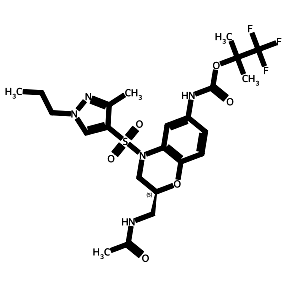 CCCn1cc(S(=O)(=O)N2C[C@H](CNC(C)=O)Oc3ccc(NC(=O)OC(C)(C)C(F)(F)F)cc32)c(C)n1